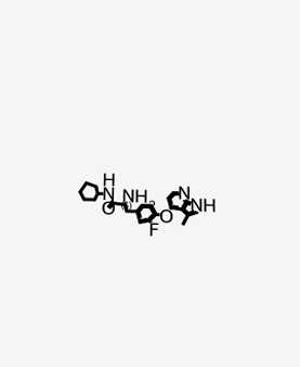 Cc1c[nH]c2nccc(Oc3ccc(C[C@H](N)C(=O)NC4CCCCC4)cc3F)c12